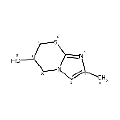 Cc1cn2c(n1)SCC(O)C2